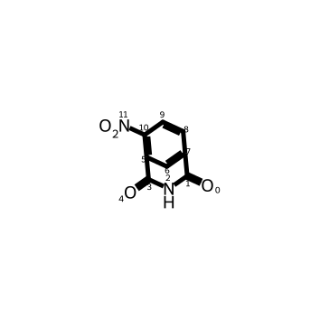 O=C1NC(=O)c2cc1ccc2[N+](=O)[O-]